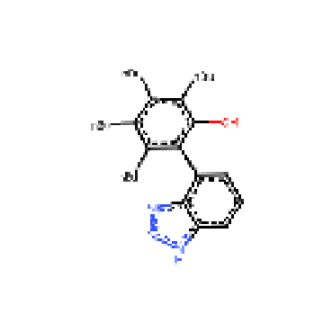 CCCCc1c(O)c(-c2cccc3[nH]nnc23)c(CCCC)c(CCCC)c1CCCC